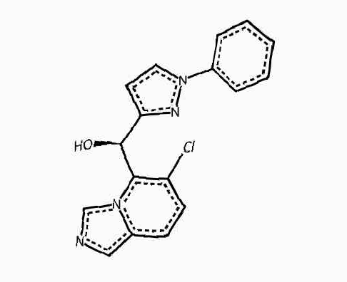 O[C@@H](c1ccn(-c2ccccc2)n1)c1c(Cl)ccc2cncn12